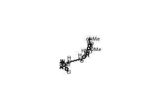 CNC(=O)COc1cc2cc(Nc3nc(N4CCC(C(=O)NCCCCCCCNC(=O)C[C@@H]5N=C(c6ccc(Cl)cc6)c6c(sc(C)c6C)-n6c(C)nnc65)CC4)ncc3Cl)cc(OC)c2n(C)c1=O